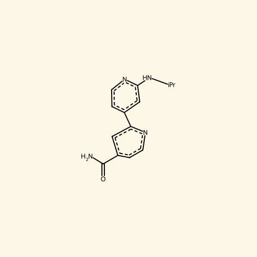 CC(C)Nc1cc(-c2cc(C(N)=O)ccn2)ccn1